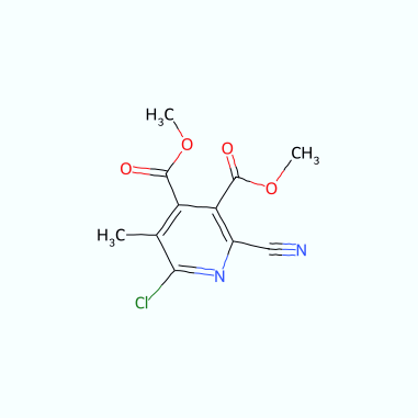 COC(=O)c1c(C#N)nc(Cl)c(C)c1C(=O)OC